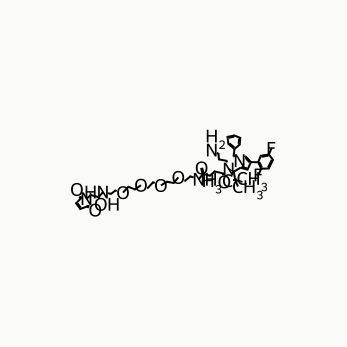 CC(C)(C)[C@H](c1cc(-c2cc(F)ccc2F)cn1Cc1ccccc1)N(CCCN)C(=O)CCC(=O)NCCOCCOCCOCCOCCNC(O)CN1C(=O)C=CC1=O